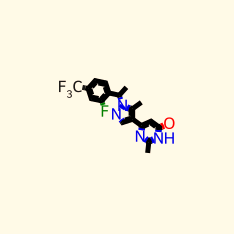 Cc1nc(-c2cnn(C(C)c3ccc(C(F)(F)F)cc3F)c2C)cc(=O)[nH]1